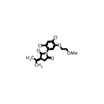 COCCOc1cc(N2C(=O)CC(=C(C)C)C2=O)c(Cl)cc1Cl